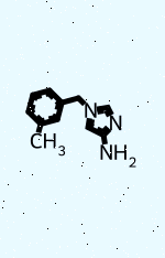 Cc1cccc(Cn2cnc(N)c2)c1